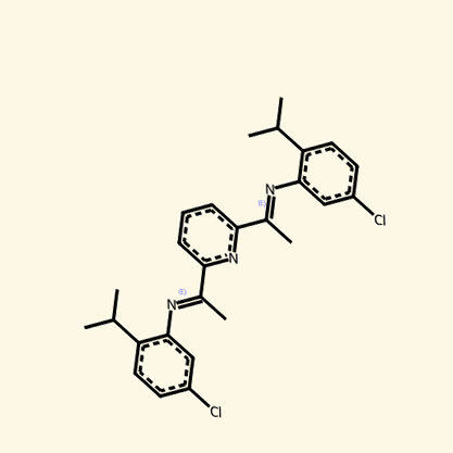 C/C(=N\c1cc(Cl)ccc1C(C)C)c1cccc(/C(C)=N/c2cc(Cl)ccc2C(C)C)n1